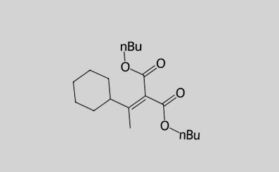 CCCCOC(=O)C(C(=O)OCCCC)=C(C)C1CCCCC1